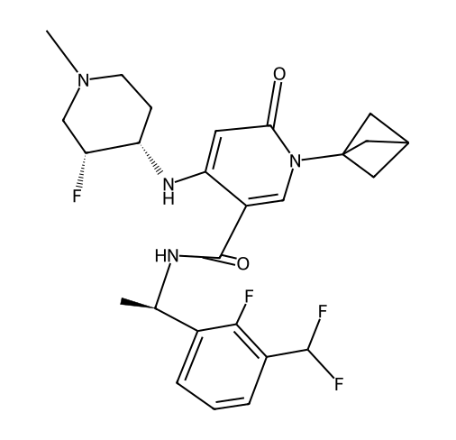 C[C@@H](NC(=O)c1cn(C23CC(C2)C3)c(=O)cc1N[C@H]1CCN(C)C[C@H]1F)c1cccc(C(F)F)c1F